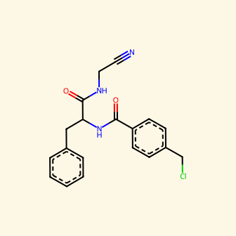 N#CCNC(=O)C(Cc1ccccc1)NC(=O)c1ccc(CCl)cc1